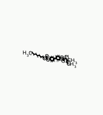 CCCCCCCCOC(=O)Oc1ccc(-c2ccc(OC(=O)[C@H](Cl)[C@@H](C)CC)cc2)cc1